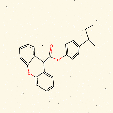 CCC(C)c1ccc(OC(=O)C2c3ccccc3Oc3ccccc32)cc1